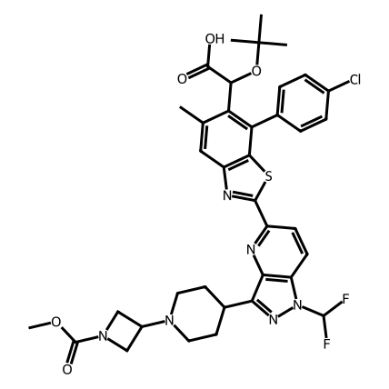 COC(=O)N1CC(N2CCC(c3nn(C(F)F)c4ccc(-c5nc6cc(C)c(C(OC(C)(C)C)C(=O)O)c(-c7ccc(Cl)cc7)c6s5)nc34)CC2)C1